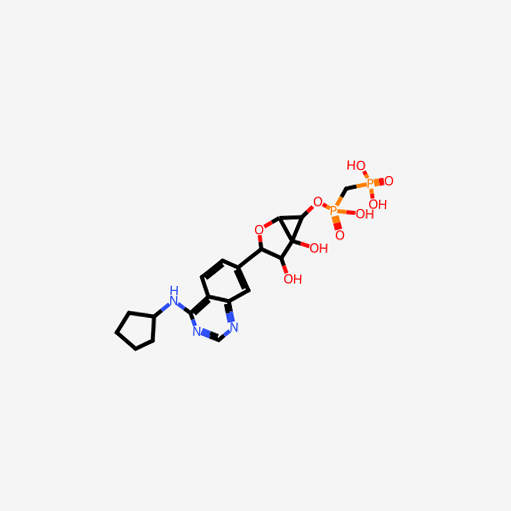 O=P(O)(O)CP(=O)(O)OC1C2OC(c3ccc4c(NC5CCCC5)ncnc4c3)C(O)C21O